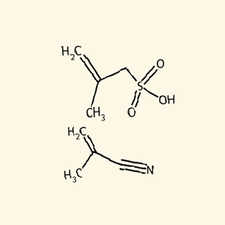 C=C(C)C#N.C=C(C)CS(=O)(=O)O